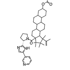 C=C(C)C1(C)C2C3CCC4C5CCC(OC(C)=O)CC5CCC4C3CCC2(C(=O)N2CCC[C@H]2c2ncc(-c3cccnc3)[nH]2)C(C)(C)C1(C)C